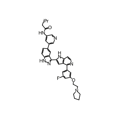 CC(C)CC(=O)Nc1cncc(-c2ccc3[nH]nc(-c4cc5c(-c6cc(F)cc(OCCN7CCCC7)c6)nccc5[nH]4)c3c2)c1